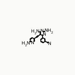 N#Cc1cccc(-c2nc(N)nc(N)c2C#Cc2ccc(N)nc2)c1